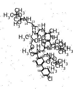 COCC(O)[C@H](C)NC(=O)[C@H](CCCCNC(=O)OC(C)(C)C)NC(=O)[C@H](C)NC(=O)[C@@H](NC(=O)[C@H](CNC(=O)OC(C)(C)C)NC(=O)c1ccc(-c2ccc(Cl)cc2)cc1)[C@@H](C)OC(C)(C)C